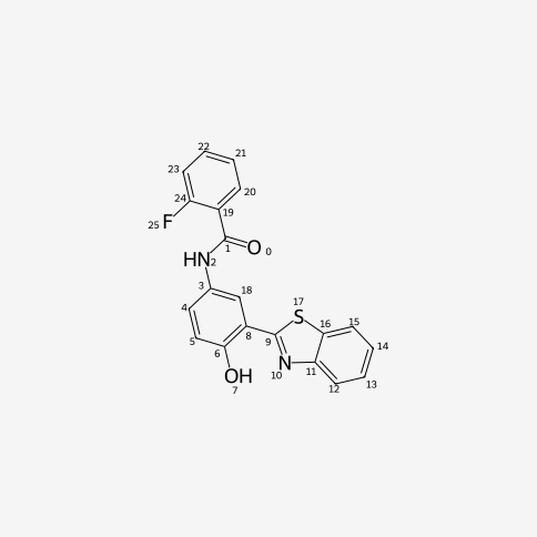 O=C(Nc1ccc(O)c(-c2nc3ccccc3s2)c1)c1ccccc1F